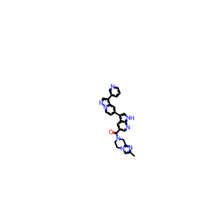 Cc1cn2c(n1)CN(C(=O)c1cnc3[nH]cc(-c4ccn5ncc(-c6cccnc6)c5c4)c3c1)CC2